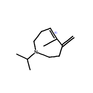 C=C1CCN(C(C)C)CC/C=C/1C